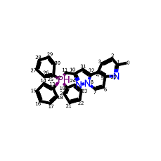 Cc1ccc2c(ccn3nc(C[PH](c4ccccc4)(c4ccccc4)c4ccccc4)cc23)n1